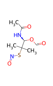 CC(=O)N[C@@H](OC=O)C(C)(C)SN=O